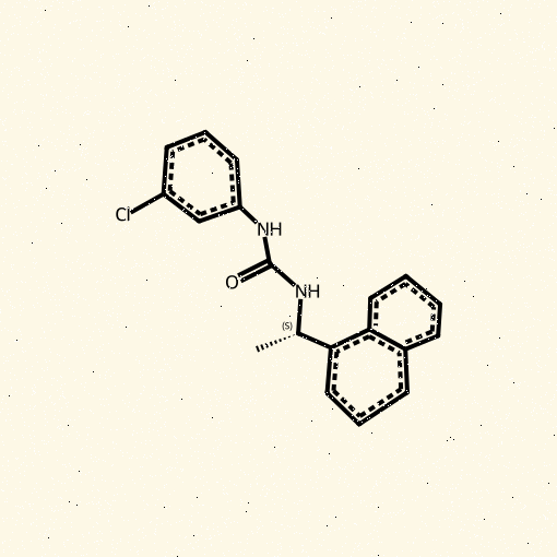 C[C@H](NC(=O)Nc1cccc(Cl)c1)c1cccc2ccccc12